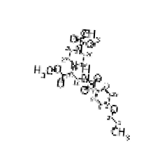 CCCOc1ccc(S(=O)(=O)NCC(C(=O)OC)N2CCN(S(C)(=O)=O)CC2)cc1